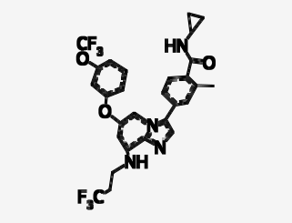 Cc1cc(-c2cnc3c(NCCC(F)(F)F)cc(Oc4cccc(OC(F)(F)F)c4)cn23)ccc1C(=O)NC1CC1